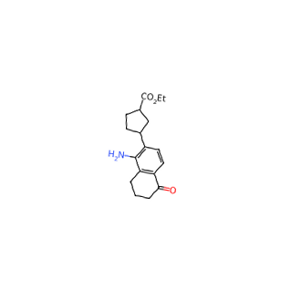 CCOC(=O)C1CCC(c2ccc3c(c2N)CCCC3=O)C1